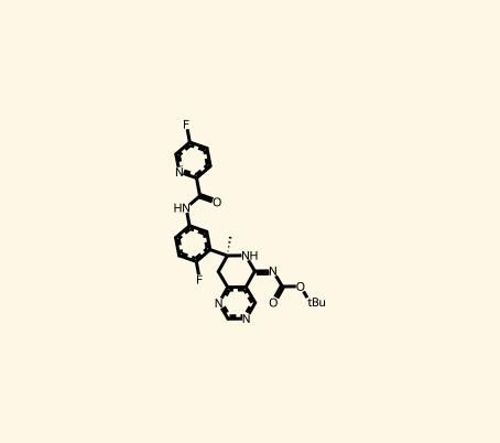 CC(C)(C)OC(=O)/N=C1/N[C@](C)(c2cc(NC(=O)c3ccc(F)cn3)ccc2F)Cc2ncncc21